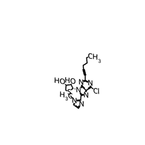 CCCCC#Cc1nc(Cl)c2nc(-c3nccn3C)n([C@@H]3SC[C@@H](O)[C@H]3O)c2n1